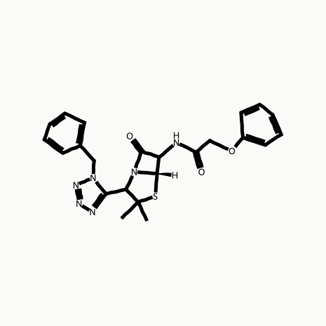 CC1(C)S[C@H]2C(NC(=O)COc3ccccc3)C(=O)N2C1c1nnnn1Cc1ccccc1